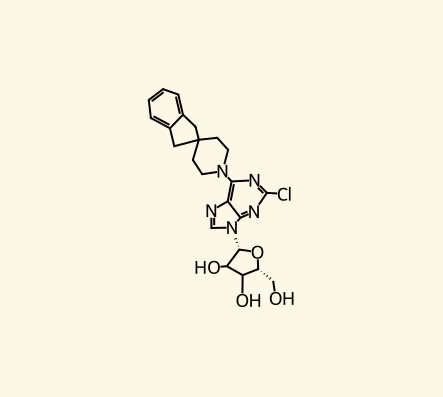 OC[C@H]1O[C@@H](n2cnc3c(N4CCC5(CC4)Cc4ccccc4C5)nc(Cl)nc32)C(O)C1O